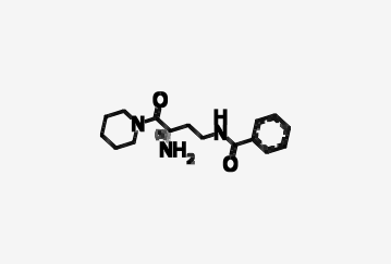 N[C@@H](CCNC(=O)c1ccccc1)C(=O)N1CCCCC1